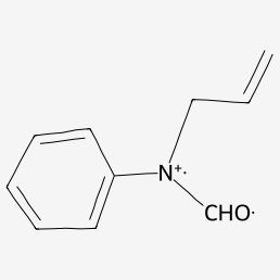 C=CC[N+]([C]=O)c1ccccc1